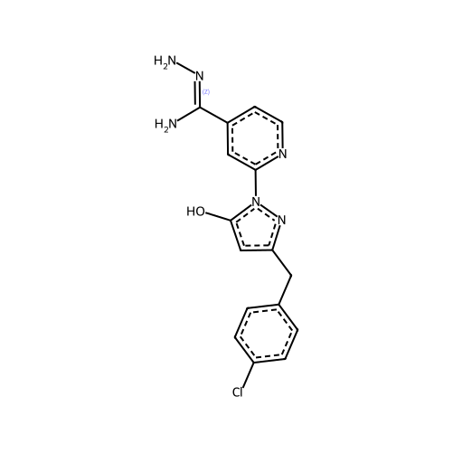 N/N=C(\N)c1ccnc(-n2nc(Cc3ccc(Cl)cc3)cc2O)c1